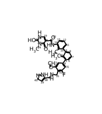 COc1cc(-c2cccc(-c3cccc(NC(=O)C4=CNC(O)N(C)C4=O)c3C)c2C)cc(F)c1CNCc1ccn[nH]1